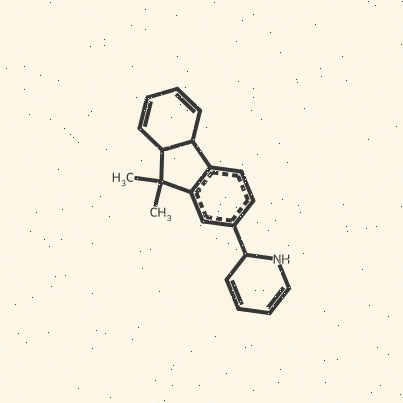 CC1(C)c2cc(C3C=CC=CN3)ccc2C2C=CC=CC21